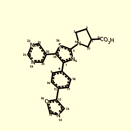 O=C(O)C1CCN(c2nc(-c3ccc(-c4cnco4)cc3)c(-c3cncnc3)s2)C1